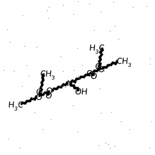 CCCCCCCCOC(CCC(=O)OCCCCCCCCN(CCCCO)CCCCCCCCOC(=O)CCC(OCCCCCCCC)OCCCCCCCC)OCCCCCCCC